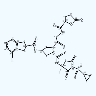 C=CC[C@](C)(NC(=O)[C@@H]1CC(OC(=O)N2Cc3cccc(F)c3C2)CN1C(=O)CNC(=O)[C@H]1CCC(=O)O1)C(=O)NS(=O)(=O)C1CC1